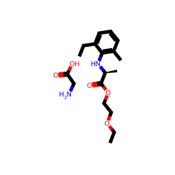 CCOCCOC(=O)[C@H](C)Nc1c(C)cccc1CC.NCC(=O)O